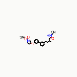 CC(CCc1cccc(-c2cccc(OC3CCN(C(=O)OC(C)(C)C)C3)c2)c1)CC(=O)NCC#N